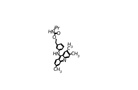 Cc1ccc2c(Nc3cccc(CCOC(=O)NC(C)C)c3)c3cc(C)c(C)cc3nc2c1